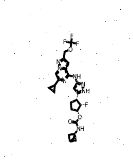 O=C(NC12CC(C1)C2)O[C@@H]1CC[C@H](c2cc(Nc3nc(C4CC4)cn4nc(COC(F)(F)F)cc34)n[nH]2)[C@@H]1F